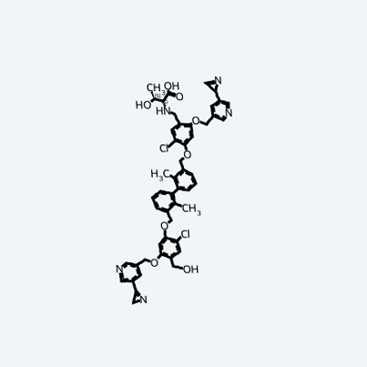 Cc1c(COc2cc(OCc3cncc(C4=NC4)c3)c(CO)cc2Cl)cccc1-c1cccc(COc2cc(OCc3cncc(C4C=N4)c3)c(CN[C@H](C(=O)O)[C@H](C)O)cc2Cl)c1C